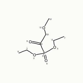 CCOP(=O)(OCC)C(=O)COC